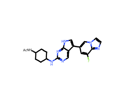 CC(=O)NC1CCC(Nc2ncc3c(-c4cc(F)c5nccn5c4)c[nH]c3n2)CC1